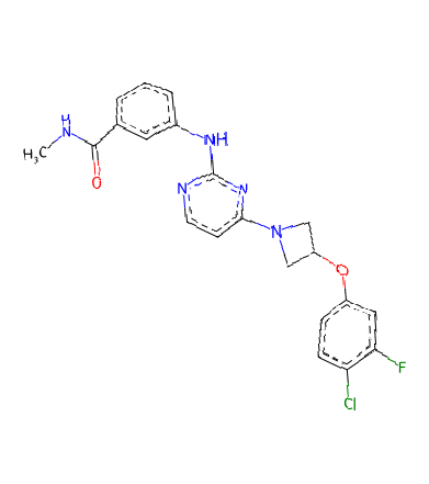 CNC(=O)c1cccc(Nc2nccc(N3CC(Oc4ccc(Cl)c(F)c4)C3)n2)c1